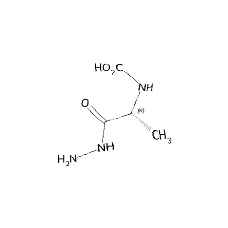 C[C@@H](NC(=O)O)C(=O)NN